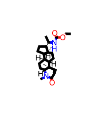 CCOC(=O)NC(C)[C@H]1CC[C@H]2[C@@H]3CC[C@H]4N(C)C(=O)C=C[C@]4(C)[C@H]3CC[C@]12C